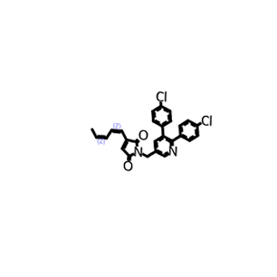 C/C=C\C=C/C1=CC(=O)N(Cc2cnc(-c3ccc(Cl)cc3)c(-c3ccc(Cl)cc3)c2)C1=O